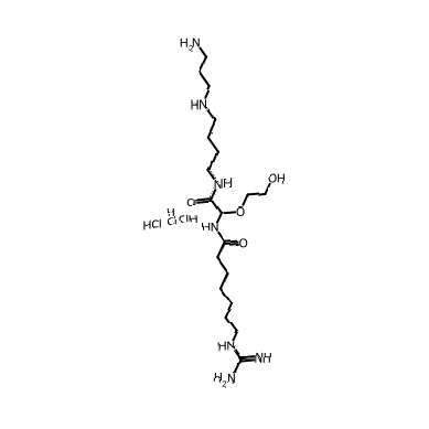 Cl.Cl.Cl.N=C(N)NCCCCCCC(=O)NC(OCCO)C(=O)NCCCCNCCCN